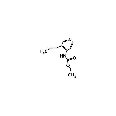 CC#Cc1cnccc1NC(=O)OCC